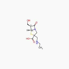 CCNCC1(C(=O)O)CN2C(=O)[C@H](CO)[C@H]2S1